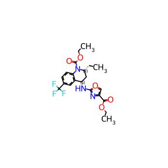 CCOC(=O)c1coc(N[C@H]2C[C@@H](CC)N(C(=O)OCC)c3ccc(C(F)(F)F)cc32)n1